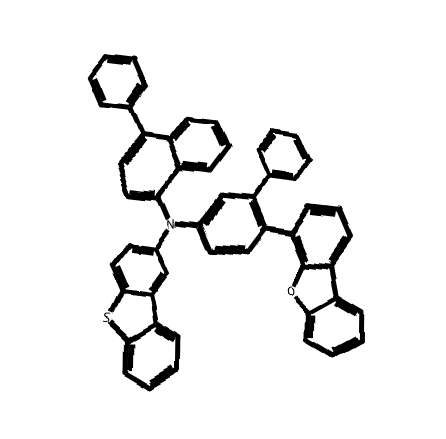 c1ccc(-c2cc(N(c3ccc4sc5ccccc5c4c3)c3ccc(-c4ccccc4)c4ccccc34)ccc2-c2cccc3c2oc2ccccc23)cc1